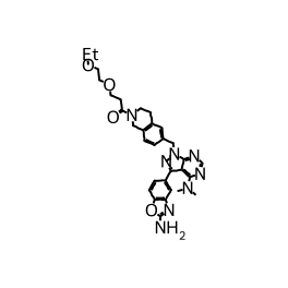 CCOCCOCCC(=O)N1CCc2cc(Cn3nc(-c4ccc5oc(N)nc5c4)c4c(N(C)C)ncnc43)ccc2C1